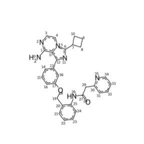 Nc1nccn2c(C3CCC3)nc(-c3cccc(OCc4ccccc4NC(=O)Cc4ccccn4)c3)c12